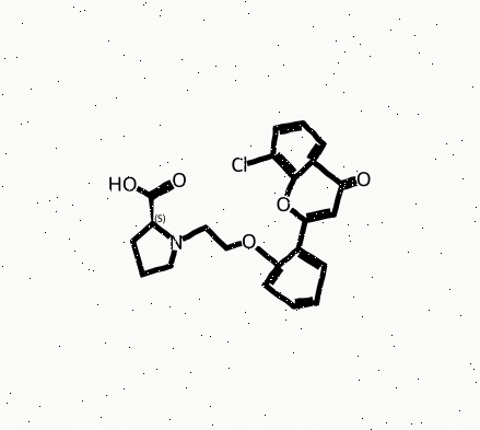 O=C(O)[C@@H]1CCCN1CCOc1ccccc1-c1cc(=O)c2cccc(Cl)c2o1